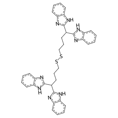 c1ccc2[nH]c(C(CCCSSCCCC(c3nc4ccccc4[nH]3)c3nc4ccccc4[nH]3)c3nc4ccccc4[nH]3)nc2c1